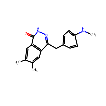 CNc1ccc(Cc2n[nH]c(=O)c3cc(C)c(C)cc23)cc1